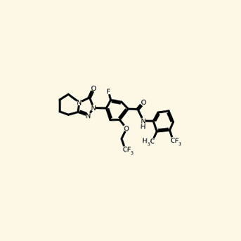 Cc1c(NC(=O)c2cc(F)c(-n3nc4n(c3=O)CCCC4)cc2OCC(F)(F)F)cccc1C(F)(F)F